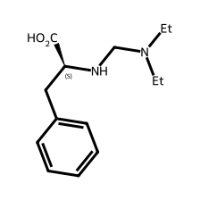 CCN(CC)CN[C@@H](Cc1ccccc1)C(=O)O